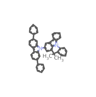 CC1(C)c2ccccc2-n2c3ccccc3c3cc(-n4c5cc(-c6ccccc6)ccc5c5ccc(-c6ccccc6)cc54)cc1c32